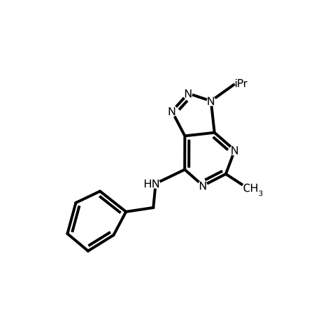 Cc1nc(NCc2ccccc2)c2nnn(C(C)C)c2n1